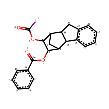 O=C(I)OC1C2CC(C1OC(=O)c1ccccc1)C1c3ccccc3CC21